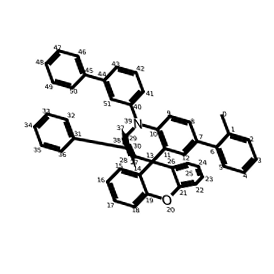 Cc1ccccc1-c1ccc2c(c1)C1(c3ccccc3Oc3ccccc31)c1ccc(-c3ccccc3)cc1N2c1cccc(-c2ccccc2)c1